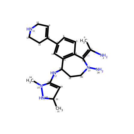 C/C(N)=C1\c2ccc(C3=CCNCC3)cc2C(NC2=CC(C)NN2C)CCN1N